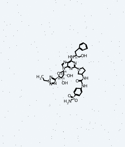 CCn1nnc([C@H]2O[C@@H](n3cnc4c(N[C@H](CO)Cc5ccccc5)nc(N5CCC(NC(=O)Nc6ccc(S(N)(=O)=O)cc6)C5)nc43)[C@H](O)[C@@H]2O)n1